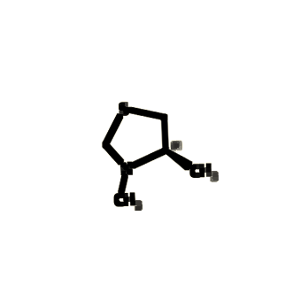 C[C@@H]1CSCN1C